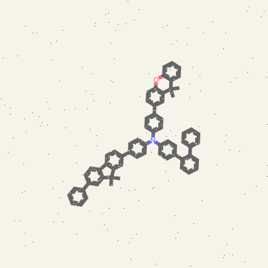 CC1(C)c2ccccc2Oc2ccc(-c3ccc(N(c4ccc(-c5ccc6c(c5)C(C)(C)c5cc(-c7ccccc7)ccc5-6)cc4)c4ccc(-c5ccccc5-c5ccccc5)cc4)cc3)cc21